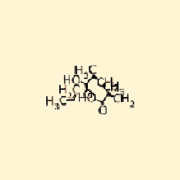 C=C(C)C(=O)O.C=C(C)C(=O)O.C=CC